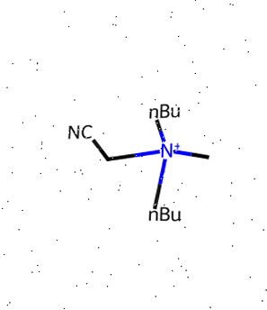 CCCC[N+](C)(CC#N)CCCC